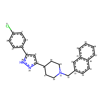 Clc1ccc(-c2cc(C3CCN(Cc4ccc5ccccc5c4)CC3)n[nH]2)cc1